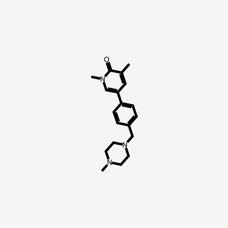 Cc1cc(-c2ccc(CN3CCN(C)CC3)cc2)cn(C)c1=O